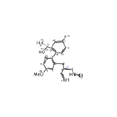 CCN/C=C(\C=N)Cc1cc(OC)cnc1-c1ccc(F)cc1[C@@H](C)O